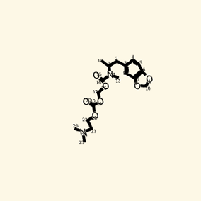 CC(Cc1ccc2c(c1)OCO2)N(C)C(=O)OCOC(=O)OCCN(C)C